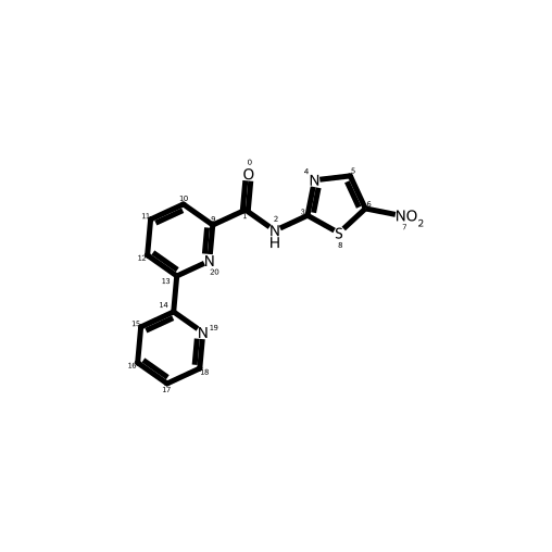 O=C(Nc1ncc([N+](=O)[O-])s1)c1cccc(-c2ccccn2)n1